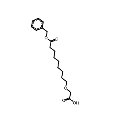 O=C(O)COCCCCCCCCC(=O)OCc1ccccc1